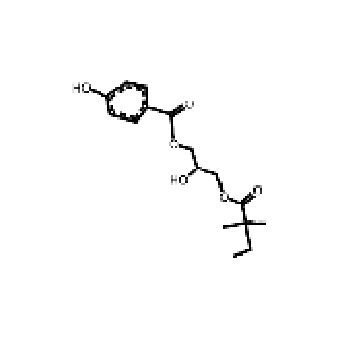 CCC(C)(C)C(=O)OCC(O)COC(=O)c1ccc(O)cc1